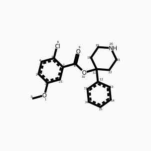 COc1ccc(Cl)c(C(=O)OC2(c3ccccc3)CCNCC2)c1